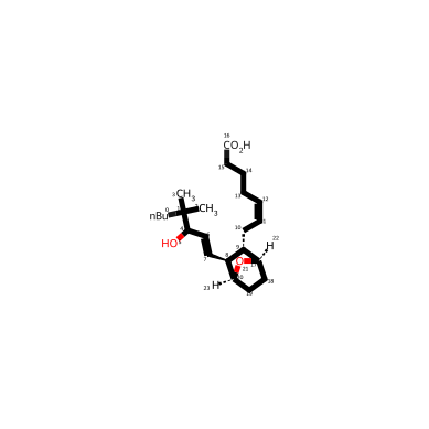 CCCCC(C)(C)C(O)/C=C/[C@H]1[C@H](C/C=C\CCCC(=O)O)[C@H]2CC[C@@H]1O2